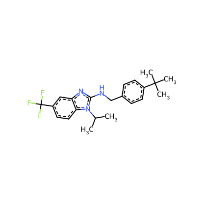 CC(C)n1c(NCc2ccc(C(C)(C)C)cc2)nc2cc(C(F)(F)F)ccc21